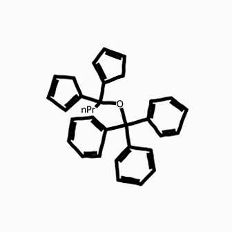 CCCC(OC(c1ccccc1)(c1ccccc1)c1ccccc1)(C1=CC=CC1)C1=CC=CC1